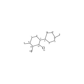 CC1CCC(C2CCC(C)C(F)C2Cl)CC1